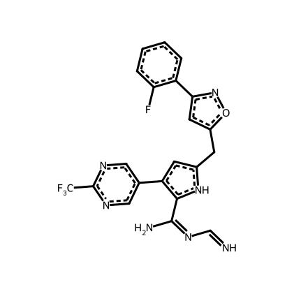 N=C/N=C(/N)c1[nH]c(Cc2cc(-c3ccccc3F)no2)cc1-c1cnc(C(F)(F)F)nc1